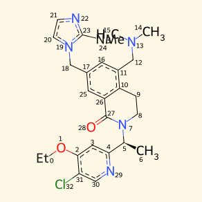 CCOc1cc([C@H](C)N2CCc3c(CN(C)C)cc(Cn4ccnc4NC)cc3C2=O)ncc1Cl